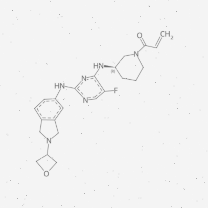 C=CC(=O)N1CCC[C@@H](Nc2nc(Nc3ccc4c(c3)CN(C3COC3)C4)ncc2F)C1